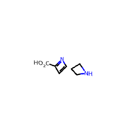 C1CNC1.O=C(O)C1=NC=C1